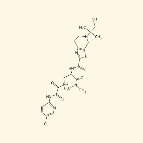 CN(C)C(=O)C(CNC(=O)C(=O)Nc1ccc(Cl)cn1)NC(=O)c1nc2c(s1)CN(C(C)(C)CO)CC2